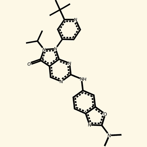 CC(C)n1c(=O)c2cnc(Nc3ccc4nc(N(C)C)oc4c3)nc2n1-c1ccnc(C(C)(C)C)c1